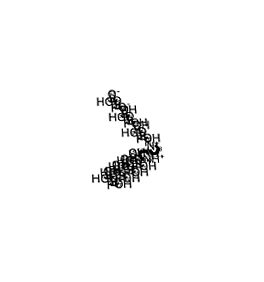 F[n+]1ccccc1.OB(O)OB(O)F.OB(O)OB(O)F.OB(O)OB(O)F.OB(O)OB(O)F.OB(O)OB(O)F.OB(O)OB(O)F.[O-]B(O)OB([O-])F.c1cc[nH+]cc1